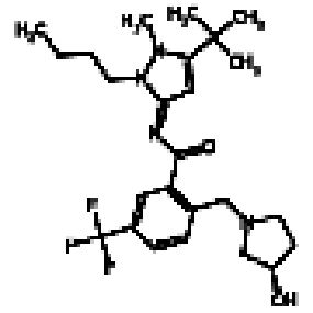 CCCCn1/c(=N/C(=O)c2cc(C(F)(F)F)ccc2CN2CC[C@@H](O)C2)cc(C(C)(C)C)n1C